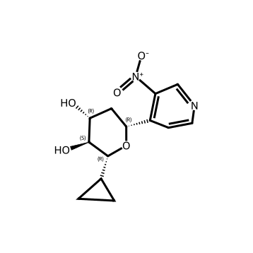 O=[N+]([O-])c1cnccc1[C@H]1C[C@@H](O)[C@H](O)[C@@H](C2CC2)O1